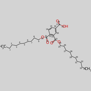 CCCCCCCCCCOC(=O)c1ccc(C(=O)O)cc1C(=O)OCCCCCCCCCC